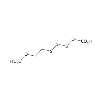 O=C(O)OCCSSSOC(=O)O